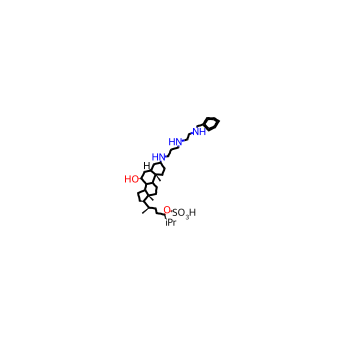 CC(C)[C@@H](CC[C@@H](C)[C@H]1CCC2C3C(CC[C@@]21C)[C@@]1(C)CC[C@H](NCCCNCCNCc2ccccc2)C[C@@H]1C[C@H]3O)OS(=O)(=O)O